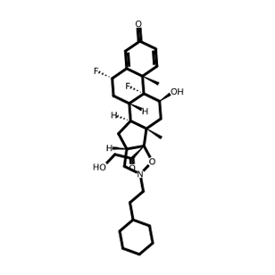 C[C@]12C=CC(=O)C=C1[C@@H](F)C[C@H]1[C@@H]3C[C@H]4CN(CCC5CCCCC5)O[C@@]4(C(=O)CO)[C@@]3(C)C[C@H](O)[C@@]12F